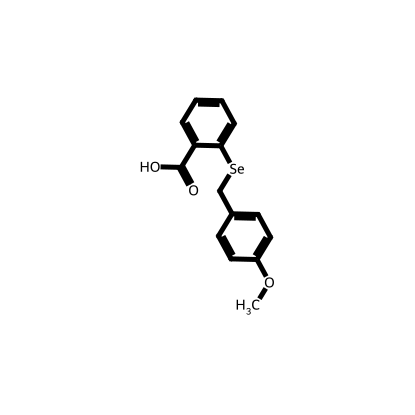 COc1ccc(C[Se]c2ccccc2C(=O)O)cc1